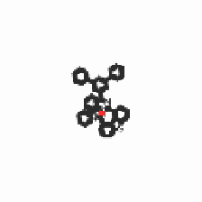 c1ccc(-c2cc(-c3ccccc3)cc(-c3nc(-c4ccccc4)nc(-c4cccc5sc6cccc(-c7nc8ccccc8s7)c6c45)n3)c2)cc1